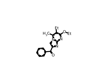 CCOc1nc2nc(C(=O)c3ccccc3)cn2c(C)c1CC